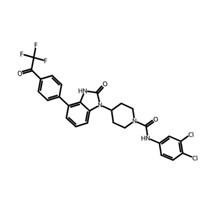 O=C(Nc1ccc(Cl)c(Cl)c1)N1CCC(n2c(=O)[nH]c3c(-c4ccc(C(=O)C(F)(F)F)cc4)cccc32)CC1